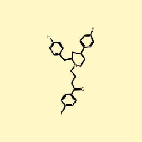 O=C(CCCN1CCC(c2ccc(F)cc2)CC1Cc1ccc(F)cc1)c1ccc(F)cc1